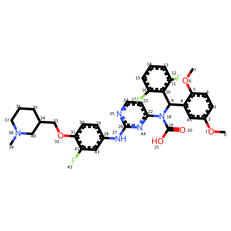 COc1ccc(OC)c(C(c2c(F)cccc2F)N(C(=O)O)c2ccnc(Nc3ccc(OCC4CCCN(C)C4)c(F)c3)n2)c1